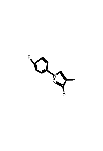 Fc1ccc(-n2cc(F)c(Br)n2)cc1